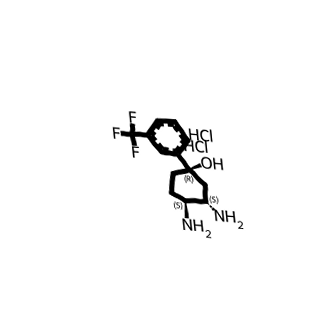 Cl.Cl.N[C@H]1CC[C@](O)(c2cccc(C(F)(F)F)c2)C[C@@H]1N